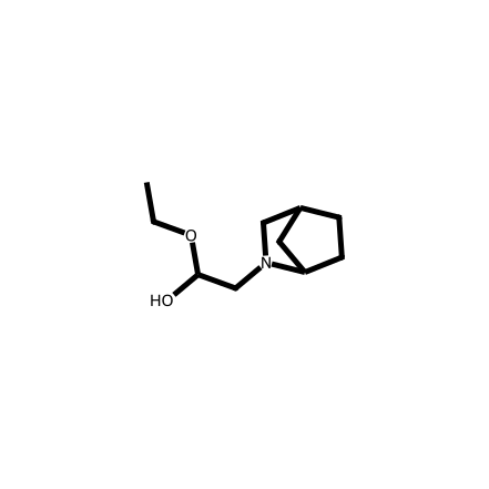 CCOC(O)CN1CC2CCC1C2